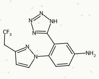 Nc1ccc(-n2ccc(CC(F)(F)F)n2)c(-c2nnn[nH]2)c1